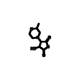 CC1CN(C2C(=O)OC(=O)C2O)CCO1